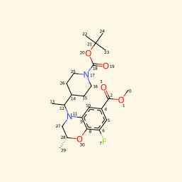 COC(=O)c1cc(F)c2c(c1)N(C(C)C1CCN(C(=O)OC(C)(C)C)CC1)C[C@@H](C)O2